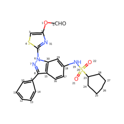 O=COc1csc(-n2nc(-c3ccccc3)c3ccc(NS(=O)(=O)C4CCCCC4)cc32)n1